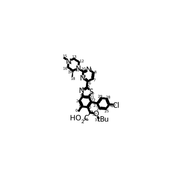 Cc1cc2nc(-c3ccnc(N4CCN(C)C[C@@H]4C)n3)sc2c(-c2ccc(Cl)cc2)c1[C@H](OC(C)(C)C)C(=O)O